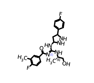 Cc1cc(C(=O)/N=C(\NC2CC(c3ccc(F)cc3)NN2)N[C@@H](C)CO)ccc1F